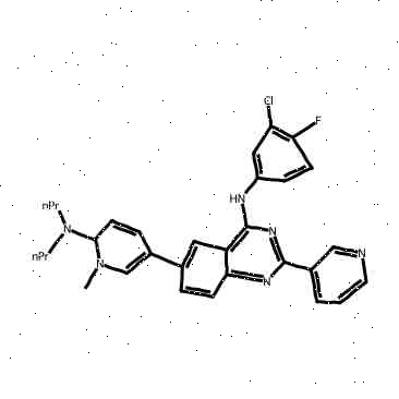 CCCN(CCC)C1C=CC(c2ccc3nc(-c4cccnc4)nc(Nc4ccc(F)c(Cl)c4)c3c2)=CN1C